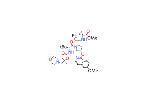 CC[C@@H]1C[C@]1(NC(=O)[C@@H]1C[C@@H](Oc2nccc3cc(OC)ccc23)CN1C(=O)[C@@H](NC(=O)OC(C)(C)CN1CCOCC1)C(C)(C)C)C(=O)OC